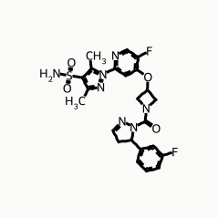 Cc1nn(-c2cc(OC3CN(C(=O)N4N=CCC4c4cccc(F)c4)C3)c(F)cn2)c(C)c1S(N)(=O)=O